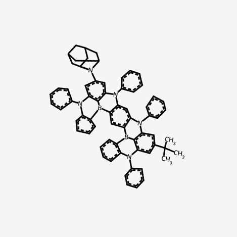 CC(C)(C)c1cc2c3c(c1)N(c1ccccc1)c1cc4c(cc1B3c1ccccc1N2c1ccccc1)B1c2ccccc2N(c2ccccc2)c2cc(N3C5CC6CC(C5)CC3C6)cc(c21)N4c1ccccc1